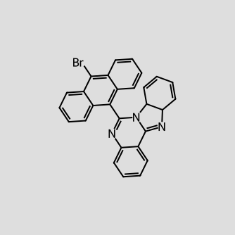 Brc1c2ccccc2c(C2=Nc3ccccc3C3=NC4C=CC=CC4N32)c2ccccc12